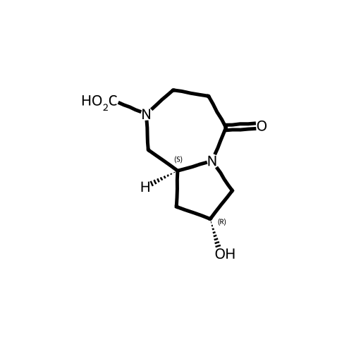 O=C(O)N1CCC(=O)N2C[C@H](O)C[C@H]2C1